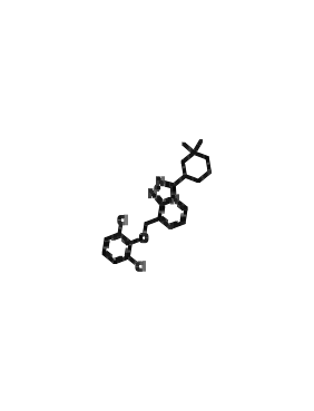 CC1(C)CCCC(c2nnc3c(COc4c(Cl)cccc4Cl)cccn23)C1